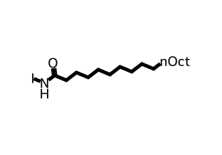 CCCCCCCCCCCCCCCCCC(=O)NI